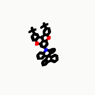 CC(C)(C)c1ccc2c(c1)B1c3cc(C(C)(C)C)ccc3Oc3cc(N4c5ccccc5C5(c6ccccc6-c6ccccc65)c5ccccc54)cc(c31)O2